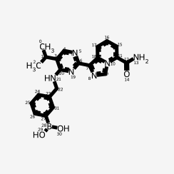 CC(C)c1cnc(-c2ncn3c(C(N)=O)cccc23)nc1NCc1cccc(B(O)O)c1